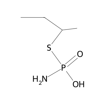 CCC(C)SP(N)(=O)O